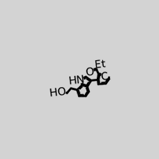 CCC(=O)c1ccccc1-c1c[nH]c2c(CCO)cccc12